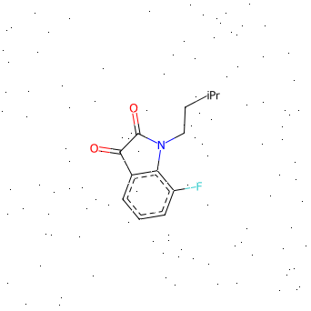 CC(C)CCN1C(=O)C(=O)c2cccc(F)c21